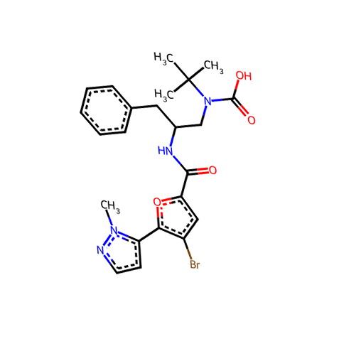 Cn1nccc1-c1oc(C(=O)NC(Cc2ccccc2)CN(C(=O)O)C(C)(C)C)cc1Br